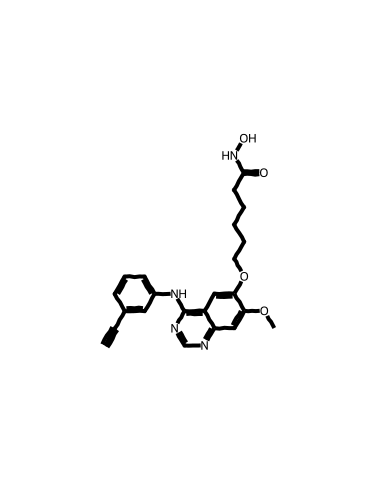 C#Cc1cccc(Nc2ncnc3cc(OC)c(OCCCCCC(=O)NO)cc23)c1